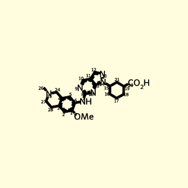 COc1cc2c(cc1Nc1ncc3cnn(C4CCCC(C(=O)O)C4)c3n1)CN(C)CC2